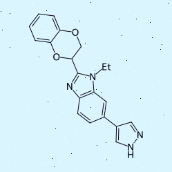 CCn1c(C2COc3ccccc3O2)nc2ccc(-c3cn[nH]c3)cc21